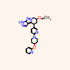 CCOC1CC(c2ccc(N3CCC(Oc4ccccn4)CC3)nc2)c2c3cn[nH]c3nn2C1